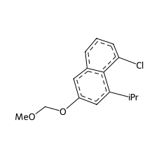 COCOc1cc(C(C)C)c2c(Cl)cccc2c1